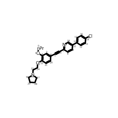 CCCOc1cc(C#Cc2ccc(-c3ccc(Cl)cc3)cn2)ccc1OCCN1CCCC1